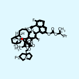 C#Cc1c(F)ccc2cc(OC(=O)O[C@@H](C)C(C)C)cc(-c3nc4c5c(nc(OC[C@@]67CCCN6C[C@H](F)C7)nc5c3F)N3C[C@H]5CC[C@@H]([C@H]3CCC4)N5Cc3oc(=O)oc3C)c12